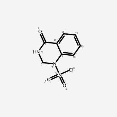 O=C1NCN(S(=O)(=O)Cl)c2ccccc21